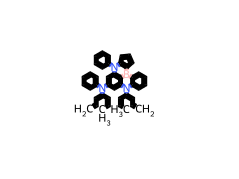 C=C/C=C(\C=C/C)N(c1ccccc1)c1cc2c3c(c1)N(C(/C=C\C)=C/C=C)c1ccccc1B3C1=C(C=C=C1)N2c1ccccc1